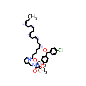 CC/C=C\C/C=C\C/C=C\C/C=C\C/C=C\CCCC(=O)N1CCCC1CNC(=O)C(C)(C)Oc1ccc(C(=O)c2ccc(Cl)cc2)cc1